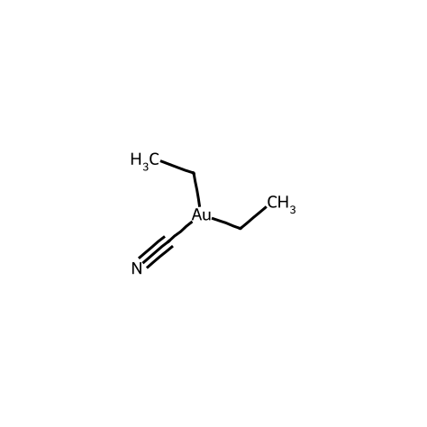 C[CH2][Au]([C]#N)[CH2]C